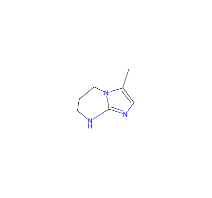 Cc1cnc2n1CCCN2